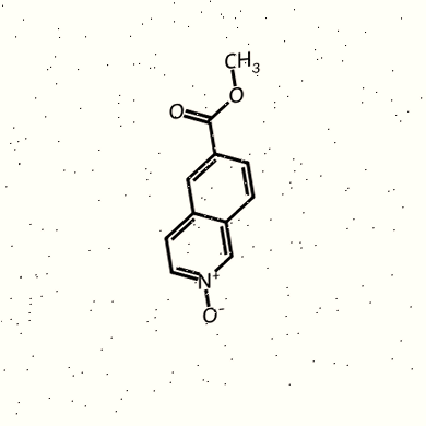 COC(=O)c1ccc2c[n+]([O-])ccc2c1